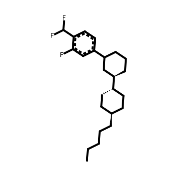 CCCCC[C@H]1CC[C@H]([C@@H]2CCCC(c3ccc(C(F)F)c(F)c3)C2)CC1